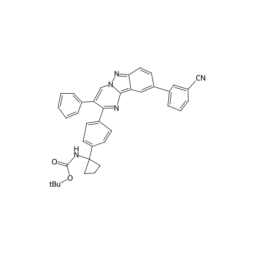 CC(C)(C)OC(=O)NC1(c2ccc(-c3nc4c5cc(-c6cccc(C#N)c6)ccc5nn4cc3-c3ccccc3)cc2)CCC1